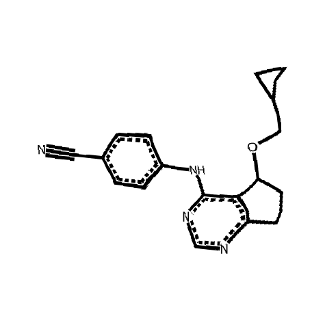 N#Cc1ccc(Nc2ncnc3c2C(OCC2CC2)CC3)cc1